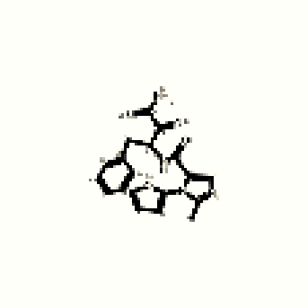 Cc1ncc(C(=O)NC(Cc2ccccc2)C(=O)C(N)=O)n1-c1ccco1